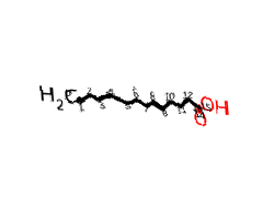 C=CCCCCCC/C=C/CCCC(=O)O